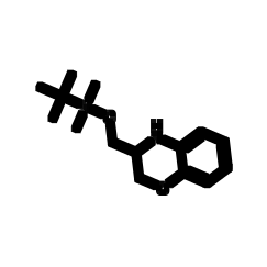 CC(C)(C)[Si](C)(C)OCC1COc2ccccc2N1